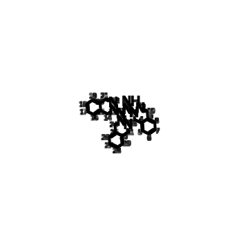 NN(N1Cc2ccccc2C=N1)N(N1Cc2ccccc2C=N1)N1Cc2ccccc2C=N1